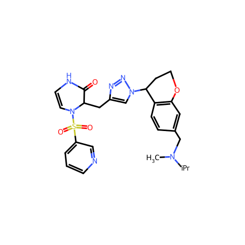 CC(C)N(C)Cc1ccc2c(c1)OCCC2n1cc(CC2C(=O)NC=CN2S(=O)(=O)c2cccnc2)nn1